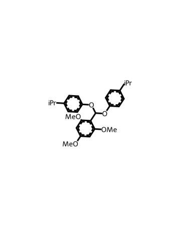 COc1cc(OC)c(C(Oc2ccc(C(C)C)cc2)Oc2ccc(C(C)C)cc2)c(OC)c1